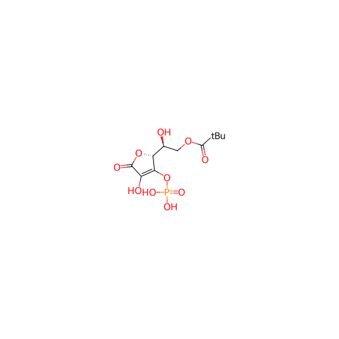 CC(C)(C)C(=O)OC[C@H](O)[C@H]1OC(=O)C(O)=C1OP(=O)(O)O